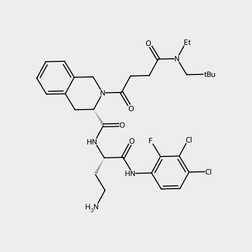 CCN(CC(C)(C)C)C(=O)CCC(=O)N1Cc2ccccc2C[C@H]1C(=O)N[C@@H](CCN)C(=O)Nc1ccc(Cl)c(Cl)c1F